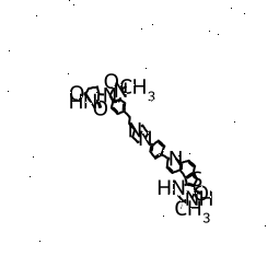 C[C@@H]1CNc2c(sc3ccc4nc(-c5ccc(N6CCN(CCc7ccc8c(c7)n(C)c(=O)n8C7CCC(=O)NC7=O)CC6)cc5)ccc4c23)C(=O)N1